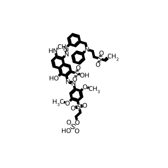 C=CS(=O)(=O)CCN(Cc1cccc(/N=N/c2c(NC)ccc3c(O)c(/N=N/c4cc(OC)c(S(=O)(=O)CCOS(=O)(=O)O)cc4OC)c(S(=O)(=O)O)cc23)c1)c1ccccc1